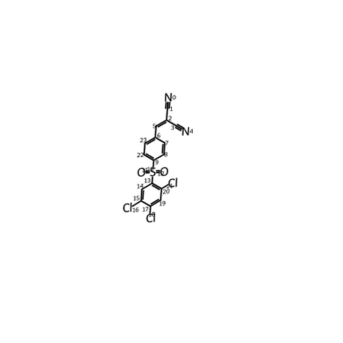 N#CC(C#N)=Cc1ccc(S(=O)(=O)c2cc(Cl)c(Cl)cc2Cl)cc1